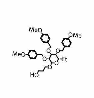 CC[C@H]1O[C@@H](OCCCO)[C@H](OCc2ccc(OC)cc2)[C@@H](OCc2ccc(OC)cc2)[C@@H]1OCc1ccc(OC)cc1